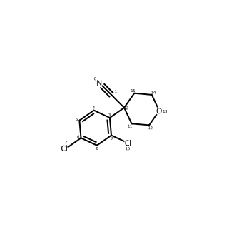 N#CC1(c2ccc(Cl)cc2Cl)CCOCC1